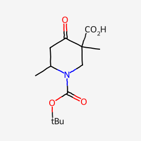 CC1CC(=O)C(C)(C(=O)O)CN1C(=O)OC(C)(C)C